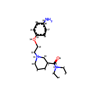 CCN(CC)C(=O)C1CCCN(CCOc2ccc(N)cc2)C1